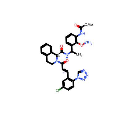 COC(=O)Nc1cccc(C(C)NC(=O)[C@@H]2c3ccccc3CCN2C(=O)/C=C/c2cc(Cl)ccc2-n2cnnn2)c1ON